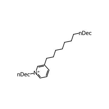 CCCCCCCCCCCCCCCCCc1ccc[n+](CCCCCCCCCC)c1